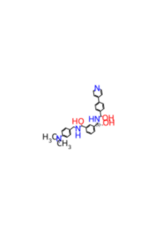 CN(C)c1ccc(CNC(O)c2cccc([C@@H](CO)NC(O)c3ccc(-c4ccncc4)cc3)c2)cc1